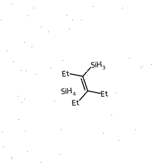 CCC([SiH3])=C(CC)CC.[SiH4]